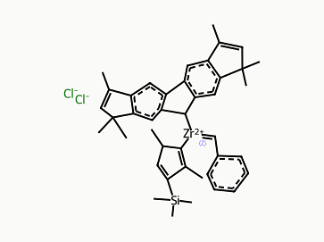 CC1=CC(C)(C)c2cc3c(cc21)-c1cc2c(cc1[CH]3/[Zr+2](=[CH]/c1ccccc1)[C]1=C(C)C([Si](C)(C)C)=CC1C)C(C)(C)C=C2C.[Cl-].[Cl-]